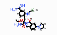 CCNc1cc(C(=N)N)ccc1CC(OCC)(C(N)=O)N1Cc2ccc(N3CCCC3)cc2C1=O.Cl